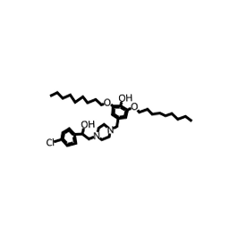 CCCCCCCCCOc1cc(CN2CCN(CC(O)c3ccc(Cl)cc3)CC2)cc(OCCCCCCCCC)c1O